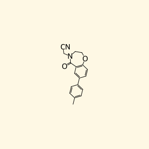 Cc1ccc(-c2ccc3c(c2)C(=O)N(CC#N)CCO3)cc1